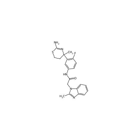 Cc1nc2ccccc2n1CC(=O)Nc1ccc(F)c(C2(C)CCSC(N)=N2)c1